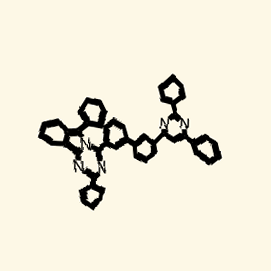 c1ccc(-c2cc(-c3cccc(-c4cccc(-c5nc(-c6ccccc6)nc6c7ccccc7c(-c7ccccc7)n56)c4)c3)nc(-c3ccccc3)n2)cc1